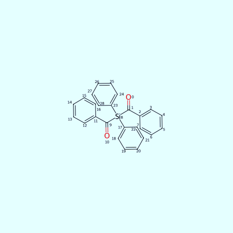 O=C(c1ccccc1)[Si](C(=O)c1ccccc1)(c1ccccc1)c1ccccc1